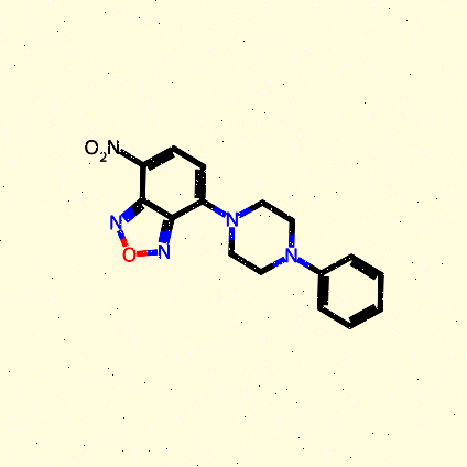 O=[N+]([O-])c1ccc(N2CCN(c3ccccc3)CC2)c2nonc12